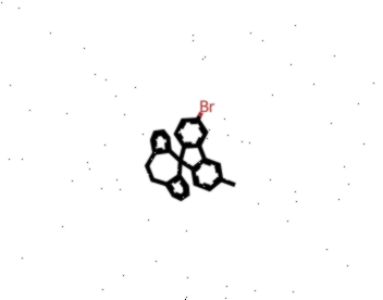 Cc1ccc2c(c1)-c1cc(Br)ccc1C21c2ccccc2CCc2ccccc21